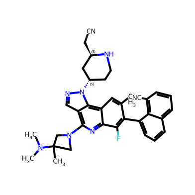 Cc1cc2c(nc(N3CC(C)(N(C)C)C3)c3cnn([C@H]4CCN[C@H](CC#N)C4)c32)c(F)c1-c1cccc2cccc(C#N)c12